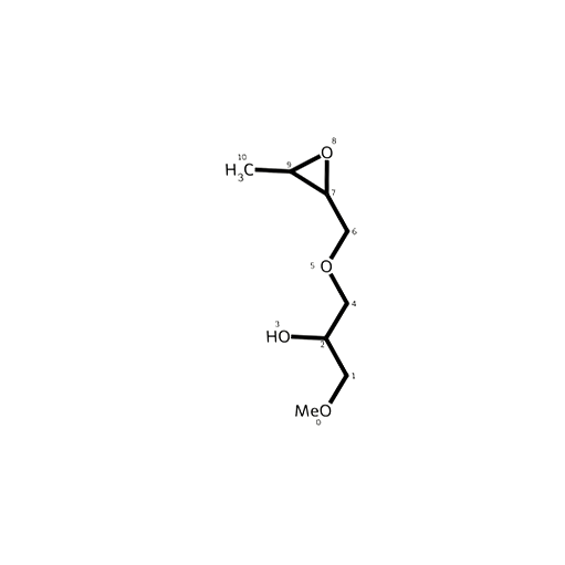 COCC(O)COCC1OC1C